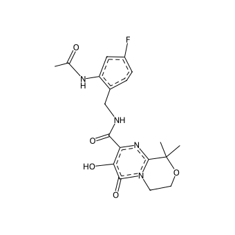 CC(=O)Nc1cc(F)ccc1CNC(=O)c1nc2n(c(=O)c1O)CCOC2(C)C